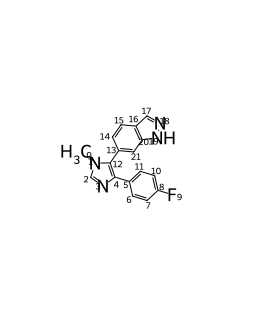 Cn1cnc(-c2ccc(F)cc2)c1-c1ccc2cn[nH]c2c1